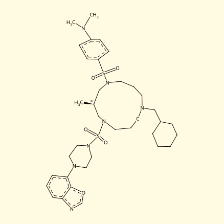 C[C@H]1CN(S(=O)(=O)c2ccc(N(C)C)cc2)CCCN(CC2CCCCC2)CCCN(S(=O)(=O)N2CCN(c3cccc4ncoc34)CC2)C1